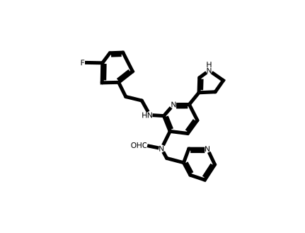 O=CN(Cc1cccnc1)c1ccc(C2=CNCC2)nc1NCCc1cccc(F)c1